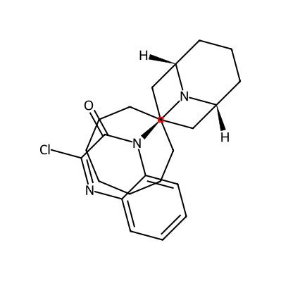 O=c1c(Cl)nc2ccccc2n1[C@@H]1C[C@H]2CCC[C@@H](C1)N2C1CCCCCCC1